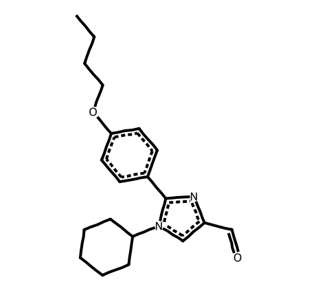 CCCCOc1ccc(-c2nc(C=O)cn2C2CCCCC2)cc1